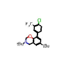 CC(C)(C)c1cc2c(c(-c3ccc(Cl)c(C(F)(F)F)c3)c1)OCN(C(C)(C)C)C2